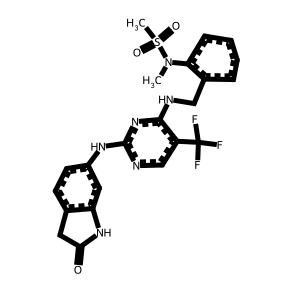 CN(c1ccccc1CNc1nc(Nc2ccc3c(c2)NC(=O)C3)ncc1C(F)(F)F)S(C)(=O)=O